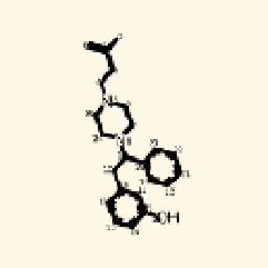 C=C(C)CCN1CCN(C(Cc2cccc(O)c2)c2ccccc2)CC1